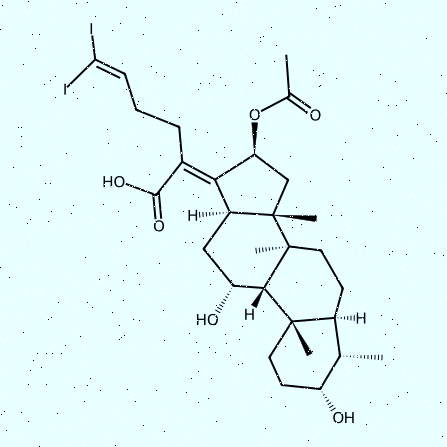 CC(=O)O[C@H]1C[C@@]2(C)[C@@H](C[C@@H](O)[C@H]3[C@@]4(C)CC[C@@H](O)[C@@H](C)[C@@H]4CC[C@@]32C)C1=C(CCC=C(I)I)C(=O)O